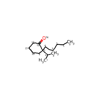 CCCCCC1(C(C)C)CCCCC1=O